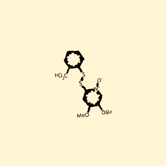 COc1cc(SSc2ccccc2C(=O)O)[n+]([O-])cc1OC